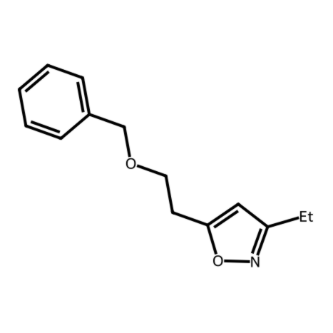 CCc1cc(CCOCc2ccccc2)on1